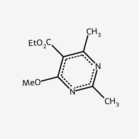 CCOC(=O)c1c(C)nc(C)nc1OC